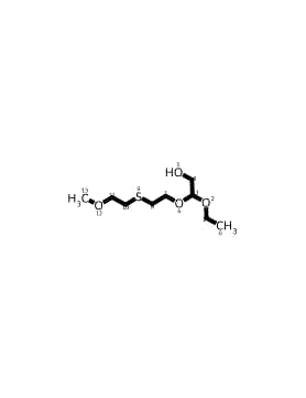 CCOC(CO)OCCSCCOC